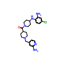 Nc1cc(CN2CCC(C(=O)N3CCC(Nc4ccc(Cl)cc4N)CC3)CC2)ccn1